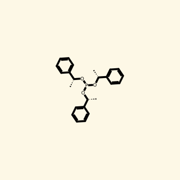 C[C@@H](OP(O[C@H](C)c1ccccc1)O[C@H](C)c1ccccc1)c1ccccc1